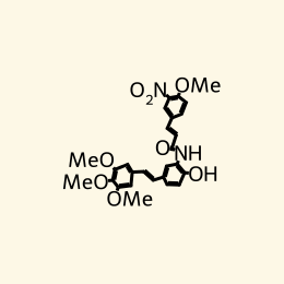 COc1ccc(/C=C/C(=O)Nc2cc(C=Cc3cc(OC)c(OC)c(OC)c3)ccc2O)cc1[N+](=O)[O-]